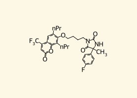 CCCc1cc2c(C(F)(F)F)cc(=O)oc2c(CCC)c1OCCCCN1C(=O)NC(C)(c2ccc(F)cc2)C1=O